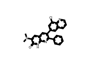 CN(C)c1cc2cc(-c3cc(Cl)c4ncccc4c3)c(-c3ccccc3)nc2[nH]c1=O